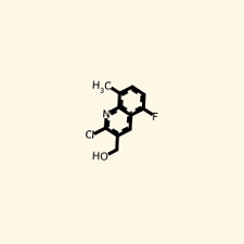 Cc1ccc(F)c2cc(CO)c(Cl)nc12